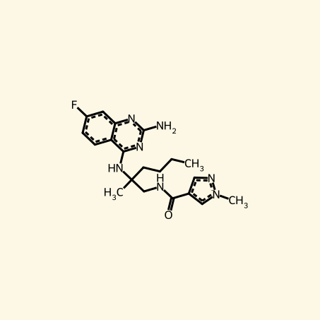 CCCCC(C)(CNC(=O)c1cnn(C)c1)Nc1nc(N)nc2cc(F)ccc12